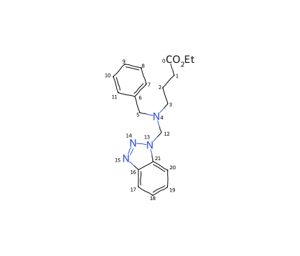 CCOC(=O)CCCN(Cc1ccccc1)Cn1nnc2ccccc21